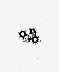 [O-][N+](=Cc1ccccc1O)c1ccccc1[SH]1C=CC=C1